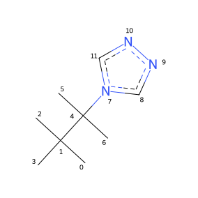 CC(C)(C)C(C)(C)n1cnnc1